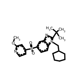 COc1cc(S(=O)(=O)c2ccc3c(c2)nc(C(C)(C)C)n3CC2CCCCC2)ccn1